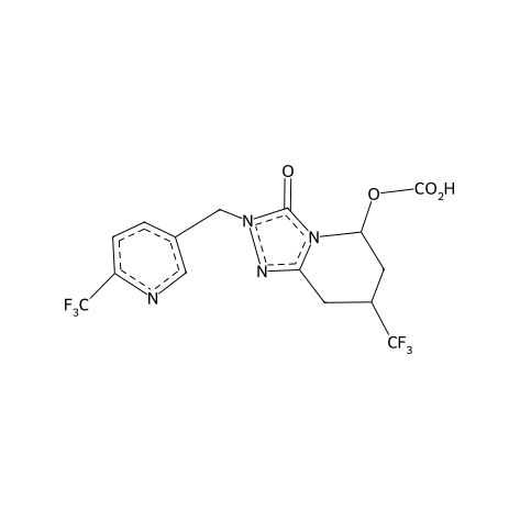 O=C(O)OC1CC(C(F)(F)F)Cc2nn(Cc3ccc(C(F)(F)F)nc3)c(=O)n21